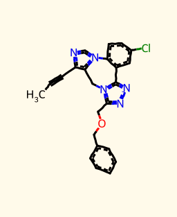 CC#Cc1ncn2c1Cn1c(COCc3ccccc3)nnc1-c1cc(Cl)ccc1-2